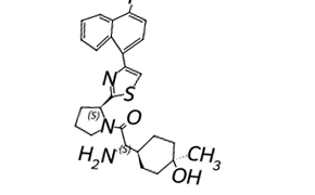 C[C@]1(O)CC[C@@H]([C@H](N)C(=O)N2CCC[C@H]2c2nc(-c3ccc(F)c4ccccc34)cs2)CC1